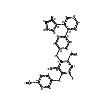 CCCCCc1nc(C)c(Cc2ccc(C(=O)O)cc2)c(=O)n1Cc1ccc(-c2ccccc2-c2nnn[nH]2)cc1